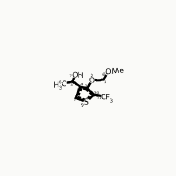 COCOc1c(C(C)O)csc1C(F)(F)F